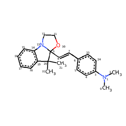 CN(C)c1ccc(C=CC23OCCN2c2ccccc2C3(C)C)cc1